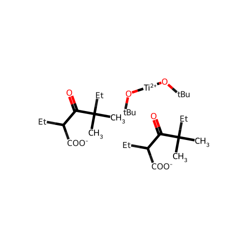 CC(C)(C)[O][Ti+2][O]C(C)(C)C.CCC(C(=O)[O-])C(=O)C(C)(C)CC.CCC(C(=O)[O-])C(=O)C(C)(C)CC